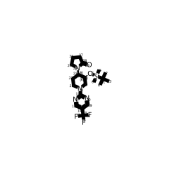 CC(C)(C)[Si](C)(C)O[C@@H]1CN(c2ncc(C(F)(F)F)cn2)CC[C@H]1N1CC[CH]C1=O